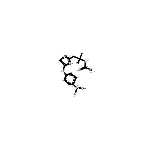 CC(C)(Cc1ncc(Oc2ccc([N+](=O)[O-])cc2)s1)OC(N)=O